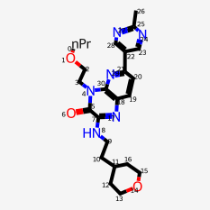 CCCOCCn1c(=O)c(NCCC2CCOCC2)nc2ccc(-c3cnc(C)nc3)nc21